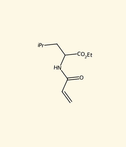 C=CC(=O)NC(CC(C)C)C(=O)OCC